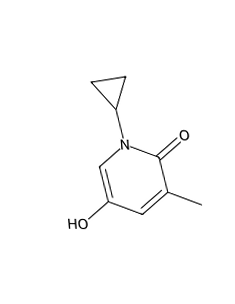 Cc1cc(O)cn(C2CC2)c1=O